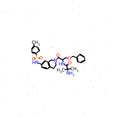 Cc1ccc(S(=O)(=O)Nc2ccc3c(c2)CN(C(=O)C(COCc2ccccc2)NC(=O)C(C)(C)N)CC3)cc1